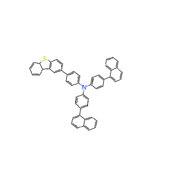 C1=CC2Sc3ccc(-c4ccc(N(c5ccc(-c6cccc7ccccc67)cc5)c5ccc(-c6cccc7ccccc67)cc5)cc4)cc3C2C=C1